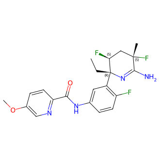 CC[C@]1(c2cc(NC(=O)c3ccc(OC)cn3)ccc2F)N=C(N)[C@@](C)(F)C[C@@H]1F